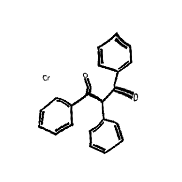 O=C(c1ccccc1)C(C(=O)c1ccccc1)c1ccccc1.[Cr]